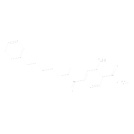 COC(=O)c1ccc(C(=O)C(Cl)SCCCCc2ccccc2)cc1N